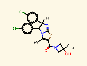 CC(C)C1=C(C(=O)N2CC(C)(O)C2)SC2=NC(C)(c3ccc(Cl)cc3)C(c3ccc(Cl)cc3)N21